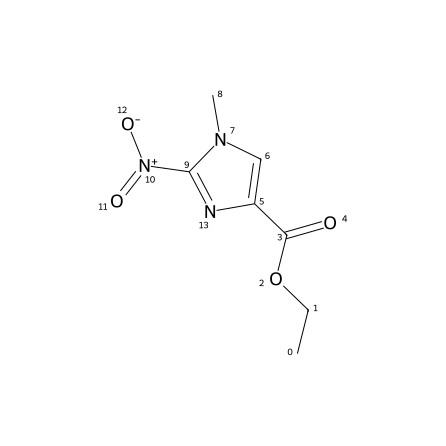 CCOC(=O)c1cn(C)c([N+](=O)[O-])n1